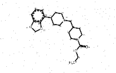 CCOC(=O)N1CCC(CN2CCC(c3cccc4c3OCO4)CC2)CC1